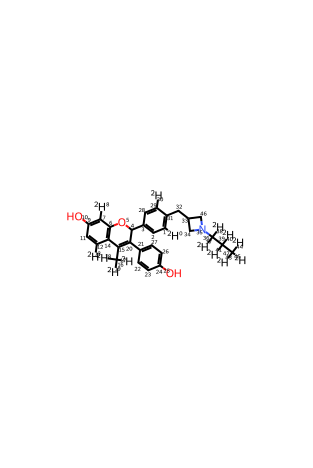 [2H]c1cc(C2Oc3c([2H])c(O)cc([2H])c3C(C([2H])([2H])[2H])=C2c2ccc(O)cc2)cc([2H])c1CC1CN(C([2H])([2H])C([2H])([2H])C([2H])([2H])[2H])C1